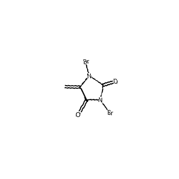 C=C1C(=O)N(Br)C(=O)N1Br